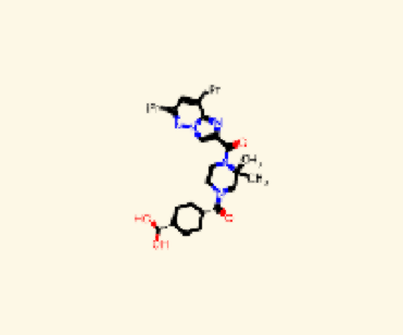 CC(C)c1cc(C(C)C)c2nc(C(=O)N3CCN(C(=O)[C@H]4CC[C@@H](C(O)O)CC4)CC3(C)C)cn2n1